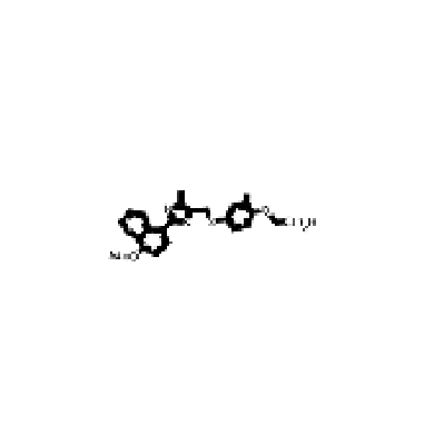 COc1ccc(-c2nc(C)c(CSc3ccc(OCC(=O)O)c(C)c3)s2)c2ccccc12